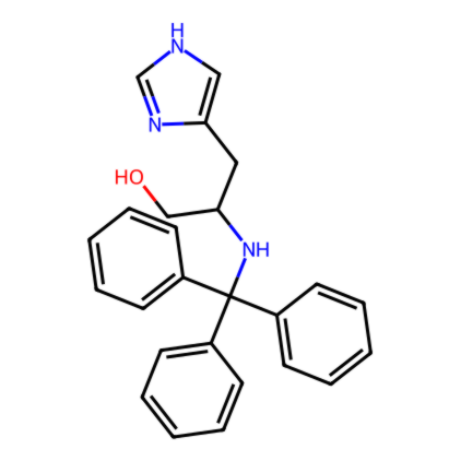 OCC(Cc1c[nH]cn1)NC(c1ccccc1)(c1ccccc1)c1ccccc1